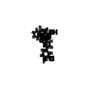 C[C@]1(c2ccccc2)C[C@@]1(NS(=O)(=O)c1ccc(-c2ccc(F)c(Cl)c2)s1)C(=O)O